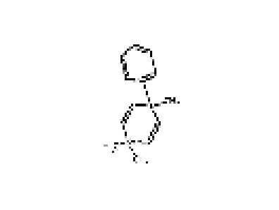 CC1(c2ccccc2)C=CS(C)(C)C=C1